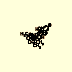 CC(C)OC(=O)O[C@]1(C(=O)OC(C)Cl)[C@@H](C)C[C@H]2[C@@H]3CCC4=CC(=O)C=C[C@]4(C)[C@@]3(F)[C@@H](O)C[C@@]21C